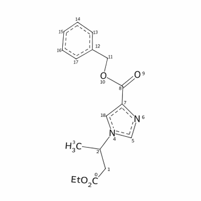 CCOC(=O)CC(C)n1cnc(C(=O)OCc2ccccc2)c1